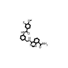 COc1ccc(C(=O)Nc2cccc(CNc3ncnc4c(C(N)=O)cccc34)c2)cc1F